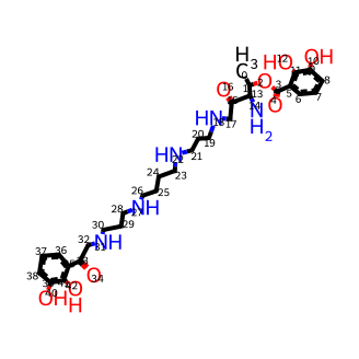 CC(OC(=O)c1cccc(O)c1O)C(N)C(=O)CNCCCNCCCCNCCCNCC(=O)c1cccc(O)c1O